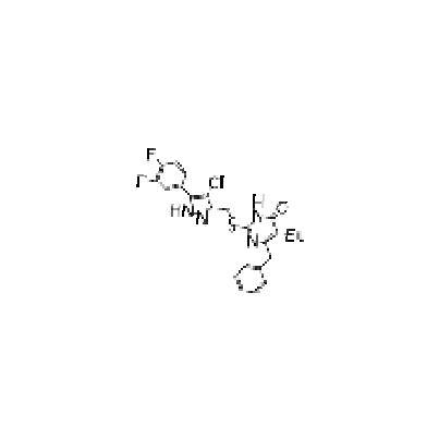 CCc1c(Cc2ccccc2)nc(SCc2n[nH]c(-c3ccc(F)c(F)c3)c2Cl)[nH]c1=O